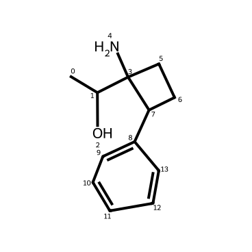 CC(O)C1(N)CCC1c1ccccc1